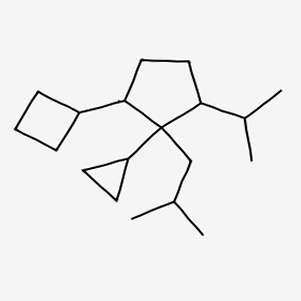 CC(C)CC1(C2CC2)[C](C2CCC2)CCC1C(C)C